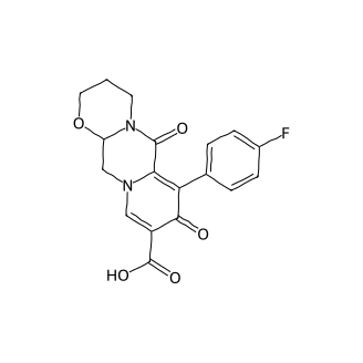 O=C(O)c1cn2c(c(-c3ccc(F)cc3)c1=O)C(=O)N1CCCOC1C2